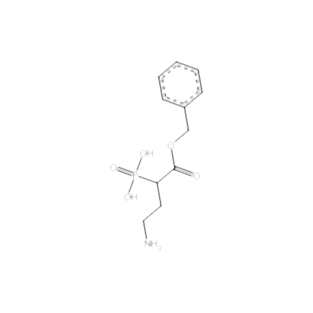 NCCC(C(=O)OCc1ccccc1)P(=O)(O)O